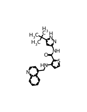 CC(C)(C)c1cc(NC(=O)c2sccc2NCc2ccnc3ccccc23)n[nH]1